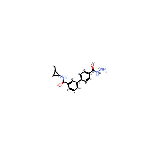 CC1CC1NC(=O)c1cccc(-c2ccc(C(=O)NN)cc2)c1